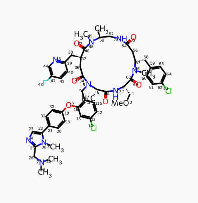 COC[C@@H]1NC(=O)[C@H](C)N(Cc2ccc(Cl)cc2Oc2ccc(-c3cnc(CN(C)C)n3C)cc2)C(=O)C[C@@H](Cc2ccc(F)cn2)C(=O)N(C)[C@@H](C)CNC(=O)C[C@H](Cc2ccc(Cl)cc2)N(C)C1=O